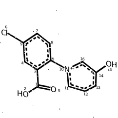 O=C(O)c1cc(Cl)ccc1-[n+]1cccc(O)c1